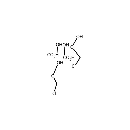 O=C(O)O.O=C(O)O.OOCCl.OOCCl